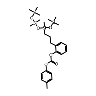 Cc1ccc(OC(=O)Oc2ccccc2CCC[Si](C)(O[Si](C)(C)C)O[Si](C)(C)O[Si](C)(C)C)cc1